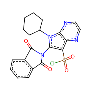 O=C1c2ccccc2C(=O)N1c1c(S(=O)(=O)Cl)c2nccnc2n1C1CCCCC1